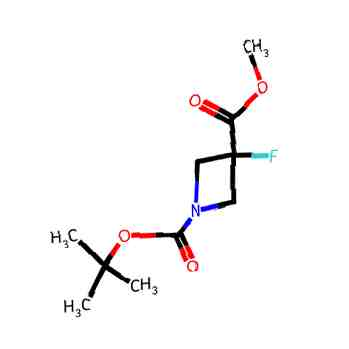 COC(=O)C1(F)CN(C(=O)OC(C)(C)C)C1